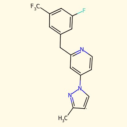 Cc1[c]cn(-c2ccnc(Cc3cc(F)cc(C(F)(F)F)c3)c2)n1